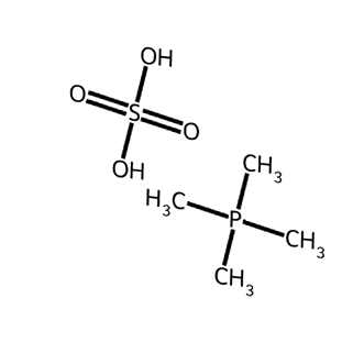 C[P](C)(C)C.O=S(=O)(O)O